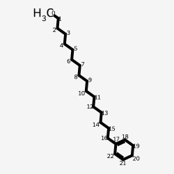 CCCCCCCCCCCCCCCCCC1=CCCC=C1